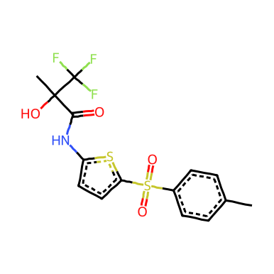 Cc1ccc(S(=O)(=O)c2ccc(NC(=O)C(C)(O)C(F)(F)F)s2)cc1